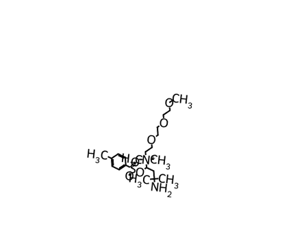 COCCOCCOCC[N+](C)(C)C(CC(C)(C)N)OS(=O)(=O)c1ccc(C)cc1